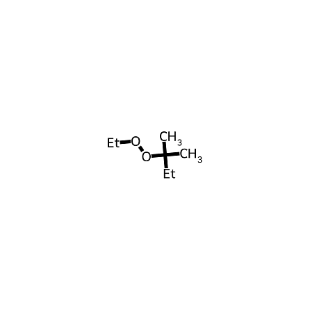 CCOOC(C)(C)CC